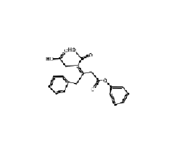 O=C(O)CC(C(=O)O)=C(CC(=O)Oc1ccccc1)Cc1ccccc1